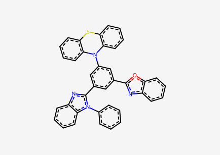 c1ccc(-n2c(-c3cc(-c4nc5ccccc5o4)cc(N4c5ccccc5Sc5ccccc54)c3)nc3ccccc32)cc1